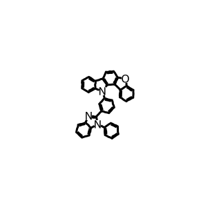 c1ccc(-n2c(-c3cccc(-n4c5ccccc5c5ccc6oc7ccccc7c6c54)c3)nc3ccccc32)cc1